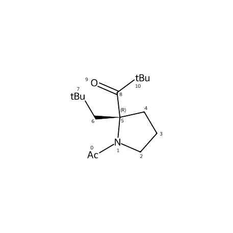 CC(=O)N1CCC[C@@]1(CC(C)(C)C)C(=O)C(C)(C)C